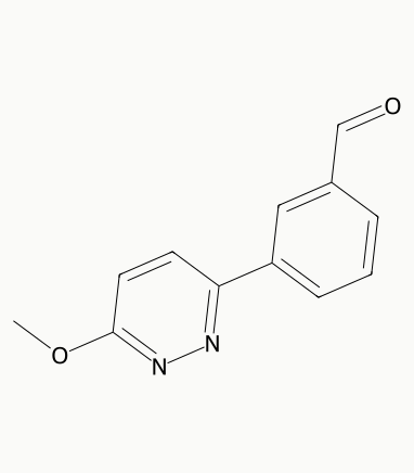 COc1ccc(-c2cccc(C=O)c2)nn1